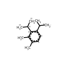 [CH2]C(C)c1ccc(C)c(C)c1C([CH2])C